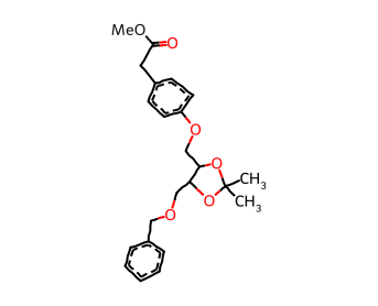 COC(=O)Cc1ccc(OCC2OC(C)(C)OC2COCc2ccccc2)cc1